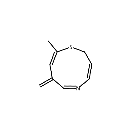 C=C1/C=N\C=C/CS/C(C)=C\1